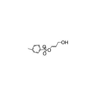 Cc1ccc(S(=O)(=O)O/C=C/CO)cc1